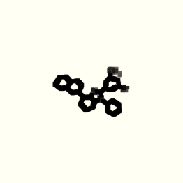 Cc1cc(Br)cc(-c2nc3c(-c4ccc5ccccc5c4)cccc3n2-c2ccccc2)c1